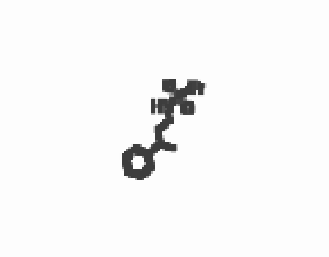 CC(CCNS(=O)(=O)C(C)C)c1ccccc1